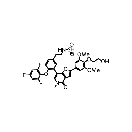 COc1cc(-c2cc3c(=O)n(C)cc(-c4cc(CCN[SH](=O)=O)ccc4Oc4c(F)cc(F)cc4F)c3o2)cc(OC)c1OCCO